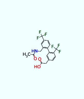 CC(=O)NCc1cc(C(F)(F)F)ccc1-c1cc(CC(=O)O)ccc1C(F)(F)F